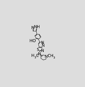 CN1CCC[C@H](N(C)c2nc3nnc(-c4ccc(-c5cn[nH]c5)cc4O)cc3s2)C1